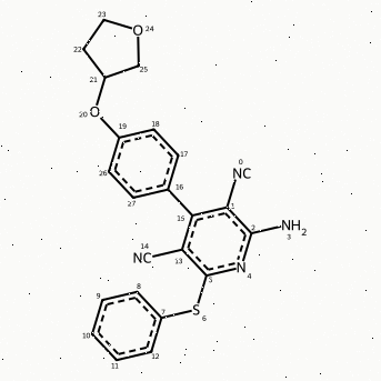 [C-]#[N+]c1c(N)nc(Sc2ccccc2)c(C#N)c1-c1ccc(OC2CCOC2)cc1